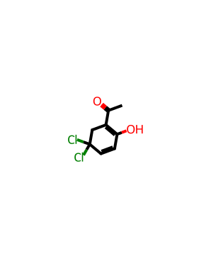 CC(=O)C1=C(O)C=CC(Cl)(Cl)C1